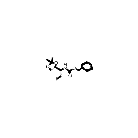 CC1(C)OC[C@@H]([C@@H](CI)NC(=O)OCc2ccccc2)O1